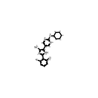 N#Cc1nc(-c2c(F)cccc2Cl)[nH]c1-c1cnc(OC2CCCCC2)nc1